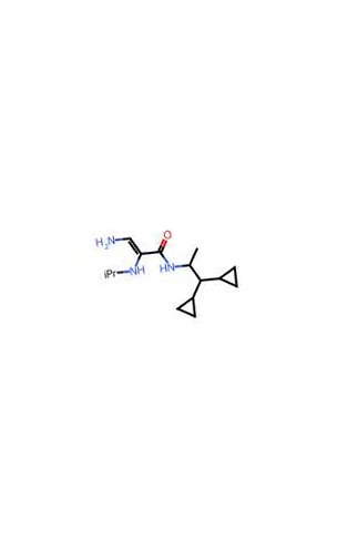 CC(C)N/C(=C\N)C(=O)NC(C)C(C1CC1)C1CC1